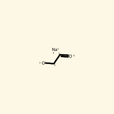 O=CC[O-].[Na+]